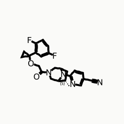 C[C@H]1CC2CN(C(=O)COC3(c4cc(F)ccc4F)CC3)CC1N2c1ccc(C#N)cn1